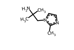 Cc1nccn1CC(C)(C)N